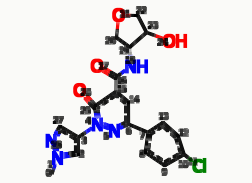 Cn1cc(-n2nc(-c3ccc(Cl)cc3)cc(C(=O)N[C@@H]3COCC3O)c2=O)cn1